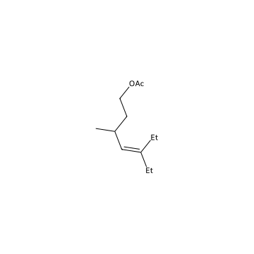 CCC(=CC(C)CCOC(C)=O)CC